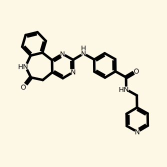 O=C1Cc2cnc(Nc3ccc(C(=O)NCc4ccncc4)cc3)nc2-c2ccccc2N1